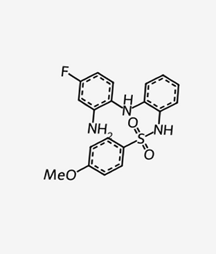 COc1ccc(S(=O)(=O)Nc2ccccc2Nc2ccc(F)cc2N)cc1